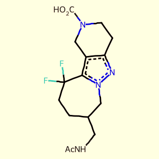 CC(=O)NCC1CCC(F)(F)c2c3c(nn2C1)CCN(C(=O)O)C3